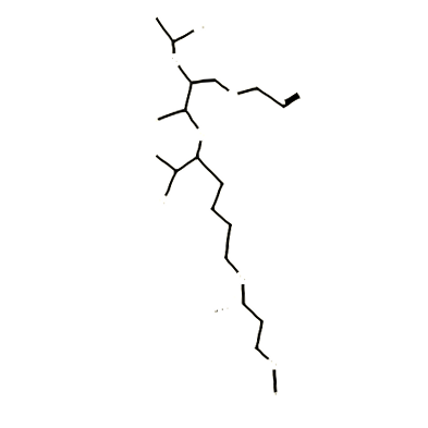 CC(O)NC(CSCC=O)C(O)NC(CCCCN[C@@H](O)CCNO)C(N)O